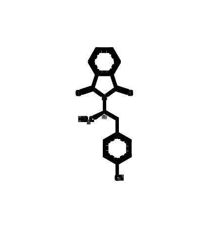 N#Cc1ccc(C[C@@H](C(=O)O)N2C(=O)c3ccccc3C2=O)cc1